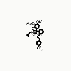 COc1ccc(C(C(=O)NCCc2ccc(C(F)(F)F)cc2)(C(=O)NCC2CC2)c2ccccc2)cc1OC